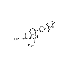 CCc1nc2c(-c3ccc(S(=O)(=O)NC4CC4)cc3)cccc2n1CC(F)=CCN